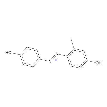 Cc1cc(O)ccc1/N=N/c1ccc(O)cc1